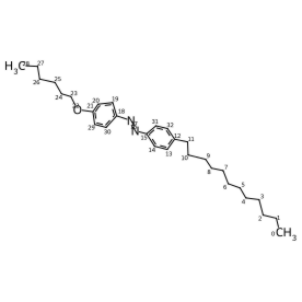 CCCCCCCCCCCCc1ccc(N=Nc2ccc(OCCCCCC)cc2)cc1